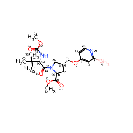 Bc1cc(OC[C@@H]2C[C@@H](C(=O)OC)N(C(=O)[C@@H](NC(=O)OC)C(C)(C)C)C2)ccn1